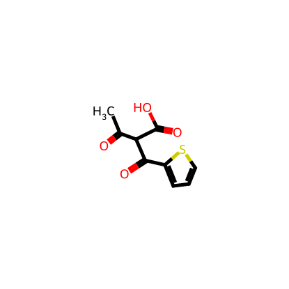 CC(=O)C(C(=O)O)C(=O)c1cccs1